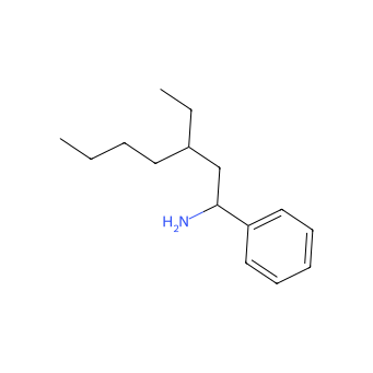 CCCCC(CC)CC(N)c1ccccc1